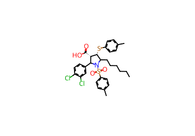 CCCCCCC1[C@@H](Sc2ccc(C)cc2)[C@@H](C(=O)O)C(c2ccc(Cl)c(Cl)c2)N1S(=O)(=O)c1ccc(C)cc1